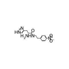 N[C@H](Cc1c[nH]cn1)C(=O)NCCc1ccc([N+](=O)[O-])cc1